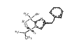 CN(C)S(=O)(=O)n1cc(Cc2ccccc2)nc1[Si](C)(C)C(C)(C)C